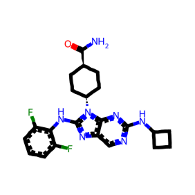 NC(=O)[C@H]1CC[C@H](n2c(Nc3c(F)cccc3F)nc3cnc(NC4CCC4)nc32)CC1